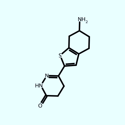 NC1CCc2cc(C3=NNC(=O)CC3)sc2C1